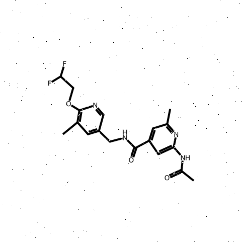 CC(=O)Nc1cc(C(=O)NCc2cnc(OCC(F)F)c(C)c2)cc(C)n1